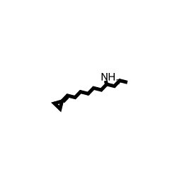 CCCC(N)CCCCCC=C1CC1